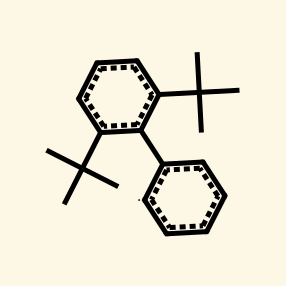 CC(C)(C)c1cccc(C(C)(C)C)c1-c1[c]cccc1